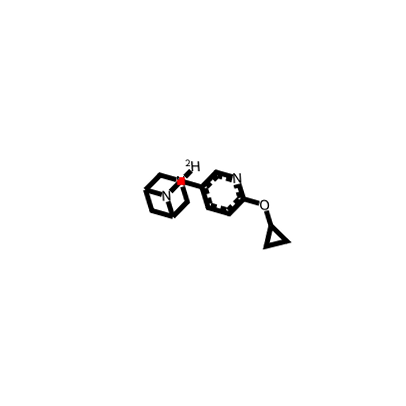 [2H]N1CC2CC(C1)N2Cc1ccc(OC2CC2)nc1